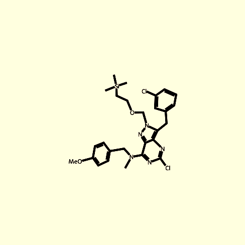 COc1ccc(CN(C)c2nc(Cl)nc3c(Cc4cccc(Cl)c4)n(COCC[Si](C)(C)C)nc23)cc1